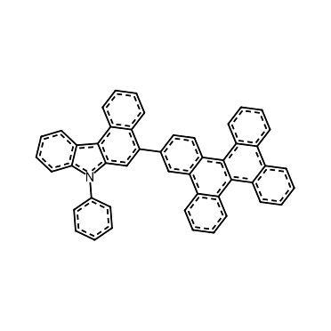 c1ccc(-n2c3ccccc3c3c4ccccc4c(-c4ccc5c(c4)c4ccccc4c4c6ccccc6c6ccccc6c54)cc32)cc1